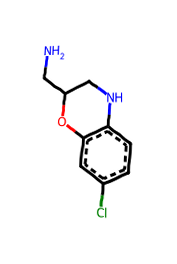 NCC1CNc2ccc(Cl)cc2O1